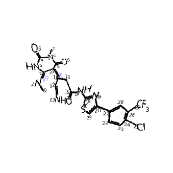 C/N=C1/NC(=O)N(C)C(=O)/C1=C(/C=N)CC(=O)Nc1nc(-c2ccc(Cl)c(C(F)(F)F)c2)cs1